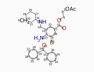 C.CC(=O)OCCOC(=O)c1cc(Br)c(N)c(CNC2CCCCC2)c1.O=C(c1ccccc1)c1ccccc1